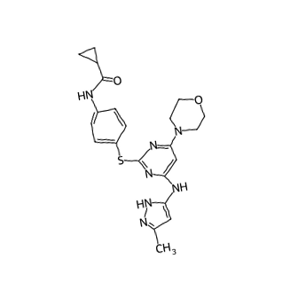 Cc1cc(Nc2cc(N3CCOCC3)nc(Sc3ccc(NC(=O)C4CC4)cc3)n2)[nH]n1